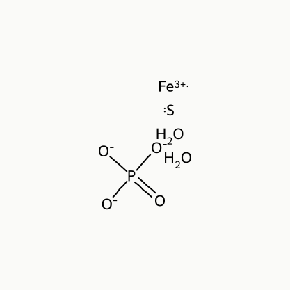 O.O.O=P([O-])([O-])[O-].[Fe+3].[S]